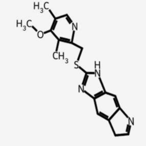 COc1c(C)cnc(CSc2nc3cc4c(cc3[nH]2)N=CC4)c1C